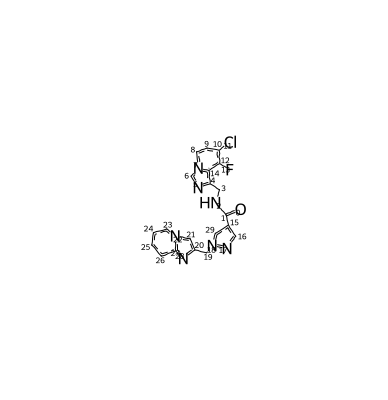 O=C(NCc1ncn2ccc(Cl)c(F)c12)c1cnn(Cc2cn3ccccc3n2)c1